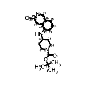 CC(C)(C)OC(=O)N1CCC(Nc2cccc3cnc(Cl)cc23)CC1